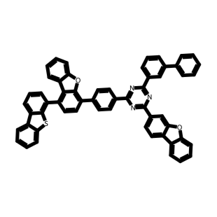 c1ccc(-c2cccc(-c3nc(-c4ccc(-c5ccc(-c6cccc7c6sc6ccccc67)c6c5oc5ccccc56)cc4)nc(-c4ccc5c(c4)oc4ccccc45)n3)c2)cc1